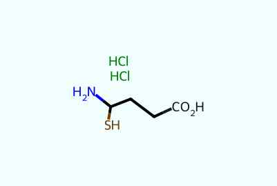 Cl.Cl.NC(S)CCC(=O)O